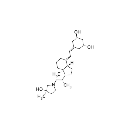 C[C@H](CN1CC[C@@](C)(O)C1)[C@H]1CC[C@H]2/C(=C/C=C3C[C@@H](O)C[C@H](O)C3)CCC[C@]12C